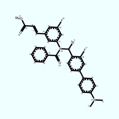 [2H]C(c1ccc(-c2ccc(N(C)C)cc2)cc1F)N(C(=O)c1ccccc1)c1cc(F)cc(/C=C/C(=O)OC)c1